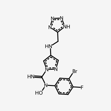 N=C(N(O)c1ccc(F)c(Br)c1)n1cc(NCc2nnn[nH]2)cn1